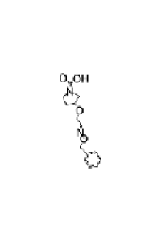 O=C(O)N1CCC(OCC=NOCc2ccccc2)C1